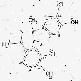 CC(=CC(C)(C)c1ccc(O)c(Cl)c1)c1ccc(O)c(Cl)c1